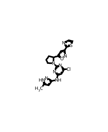 Cc1cc(Nc2cc(Cl)nc(N3CCCC3c3cc(-c4nccs4)no3)n2)n[nH]1